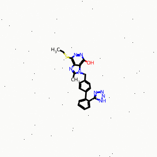 CCSc1nnc(O)c2c1nc(C)n2Cc1ccc(-c2ccccc2-c2nnn[nH]2)cc1